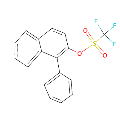 O=S(=O)(Oc1ccc2ccccc2c1-c1ccccc1)C(F)(F)F